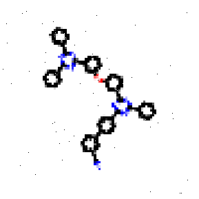 N#Cc1cccc(-c2ccc(-c3nc(-c4ccccc4)nc(-c4cccc(Oc5cccc(-c6nc(-c7ccccc7)nc(-c7ccccc7)n6)c5)c4)n3)cc2)c1